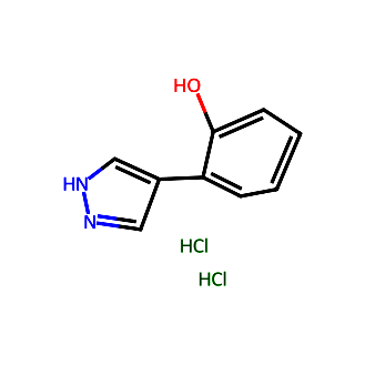 Cl.Cl.Oc1ccccc1-c1cn[nH]c1